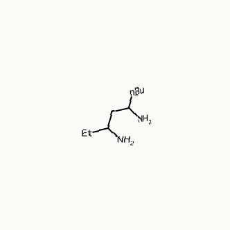 CCCCC(N)CC(N)CC